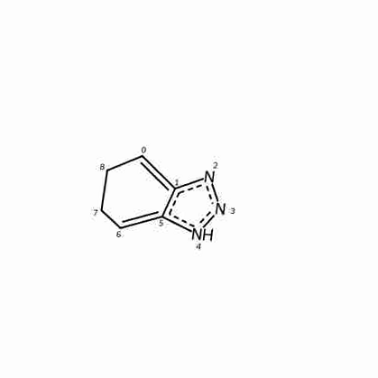 C1=c2nn[nH]c2=CCC1